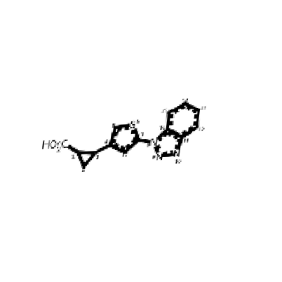 O=C(O)C1CC1c1csc(-n2nnc3ccccc32)c1